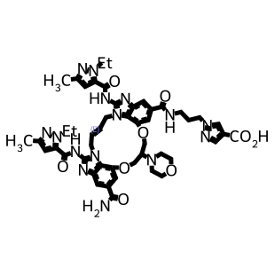 CCn1nc(C)cc1C(=O)Nc1nc2cc(C(N)=O)cc3c2n1C/C=C/Cn1c(NC(=O)c2cc(C)nn2CC)nc2cc(C(=O)NCCCn4cc(C(=O)O)cn4)cc(c21)OCC(N1CCOCC1)CO3